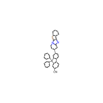 N#Cc1ccc2c(c1)C(c1ccccc1)(c1ccccc1)c1cc(-c3ccn4c(c3)nc3c5ccccc5sc34)ccc1-2